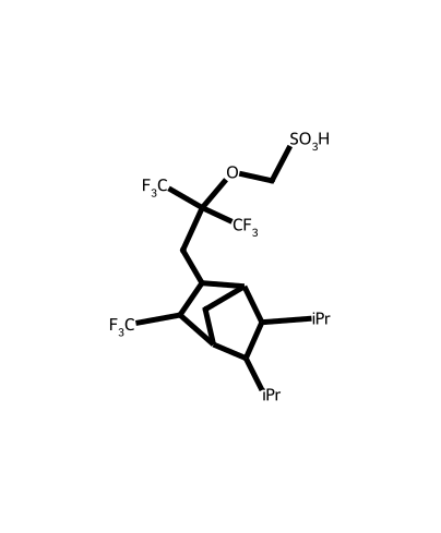 CC(C)C1C2CC(C1C(C)C)C(C(F)(F)F)C2CC(OCS(=O)(=O)O)(C(F)(F)F)C(F)(F)F